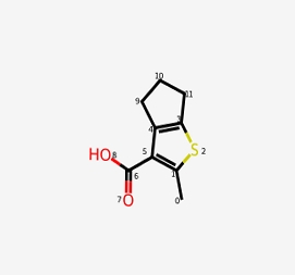 Cc1sc2c(c1C(=O)O)CCC2